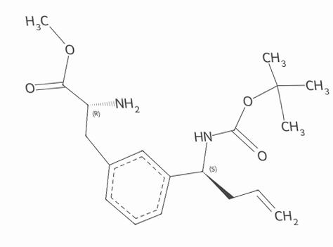 C=CC[C@H](NC(=O)OC(C)(C)C)c1cccc(C[C@@H](N)C(=O)OC)c1